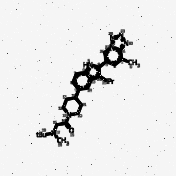 Cc1cc(-c2[nH]c3ccc(C4CCN(C(=O)CN(C)C(C)(C)C)CC4)cc3c2C(C)C)cn2nnnc12